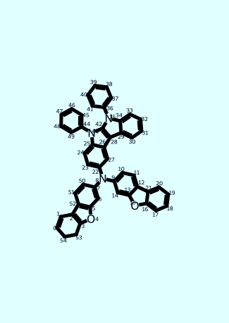 C1=Cc2c(oc3cc(N(c4ccc5c(c4)oc4ccccc45)c4ccc5c(c4)c4c6ccccc6n(-c6ccccc6)c4n5-c4ccccc4)ccc23)CC1